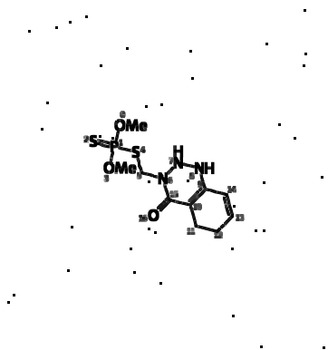 COP(=S)(OC)SCN1NNC2=C(CCC=C2)C1=O